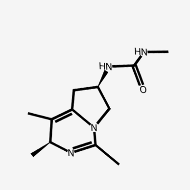 CNC(=O)N[C@@H]1CC2=C(C)[C@H](C)N=C(C)N2C1